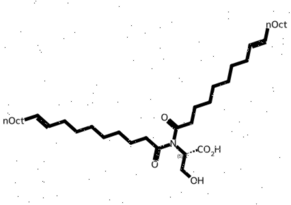 CCCCCCCCC=CCCCCCCCC(=O)N(C(=O)CCCCCCCC=CCCCCCCCC)[C@@H](CO)C(=O)O